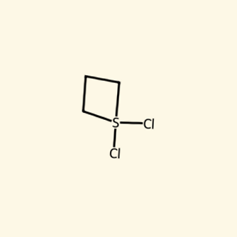 ClS1(Cl)CCC1